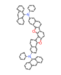 c1ccc(N(c2ccc3c(ccc4c5ccc6oc7c8ccc(N(c9ccccc9)c9c%10ccccc%10cc%10ccccc9%10)cc8ccc7c6c5oc34)c2)c2c3ccccc3cc3ccccc23)cc1